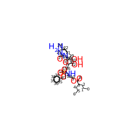 CCCC(CCC)C(=O)OCCNP(=O)(OC[C@H]1OC(n2ccc(N)nc2=O)[C@](C)(O)[C@@H]1O)Oc1ccccc1